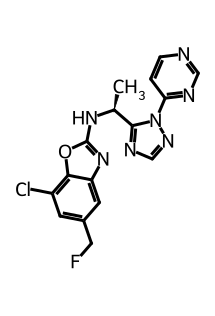 C[C@H](Nc1nc2cc(CF)cc(Cl)c2o1)c1ncnn1-c1ccncn1